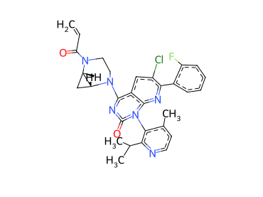 C=CC(=O)N1CCN(c2nc(=O)n(-c3c(C)ccnc3C(C)C)c3nc(-c4ccccc4F)c(Cl)cc23)[C@@H]2C[C@@H]21